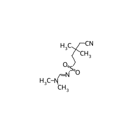 CN(C)/C=N/S(=O)(=O)CCC(C)(C)CC#N